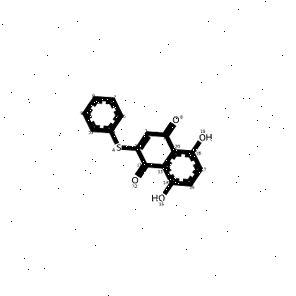 O=C1C=C(Sc2ccccc2)C(=O)c2c(O)ccc(O)c21